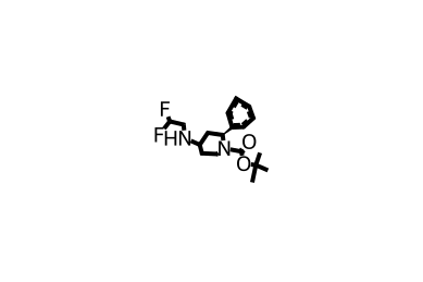 CC(C)(C)OC(=O)N1CCC(NCC(F)F)C[C@H]1c1ccccc1